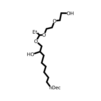 CCCCCCCCCCCCCCCCC(O)COC(CC)OCCOCCO